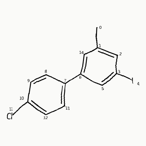 Cc1cc(I)cc(-c2ccc(Cl)cc2)c1